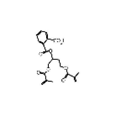 C=C(C)C(=O)OCCC(COC(=O)C(=C)C)OC(=O)c1ccccc1C(=O)O